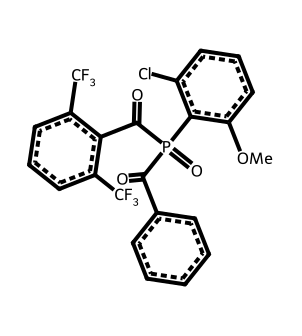 COc1cccc(Cl)c1P(=O)(C(=O)c1ccccc1)C(=O)c1c(C(F)(F)F)cccc1C(F)(F)F